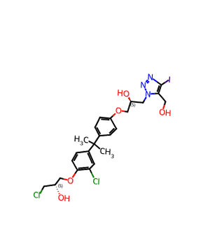 CC(C)(c1ccc(OC[C@@H](O)Cn2nnc(I)c2CO)cc1)c1ccc(OC[C@H](O)CCl)c(Cl)c1